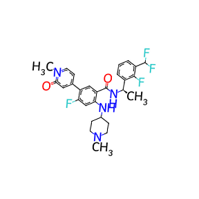 C[C@@H](NC(=O)c1cc(-c2ccn(C)c(=O)c2)c(F)cc1NC1CCN(C)CC1)c1cccc(C(F)F)c1F